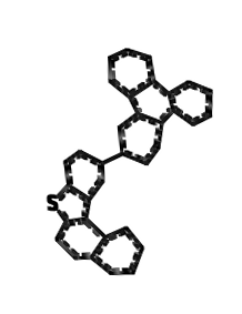 c1ccc2c(c1)ccc1sc3ccc(-c4ccc5c6ccccc6c6ccccc6c5c4)cc3c12